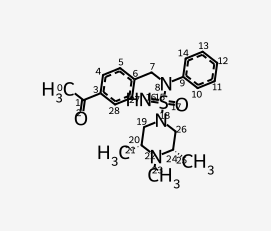 CC(=O)c1ccc(CN(c2ccccc2)S(=N)(=O)N2C[C@@H](C)N(C)[C@@H](C)C2)cc1